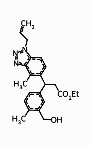 C=CCn1nnc2c(C)c(C(CC(=O)OCC)c3ccc(C)c(CO)c3)ccc21